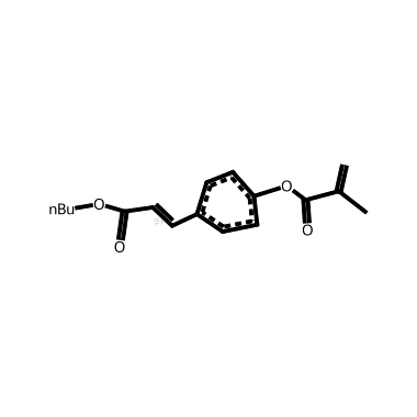 C=C(C)C(=O)Oc1ccc(/C=C/C(=O)OCCCC)cc1